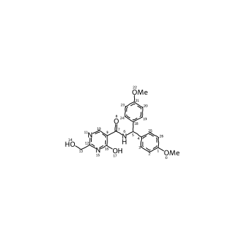 COc1ccc(C(NC(=O)c2cnc(CO)nc2O)c2ccc(OC)cc2)cc1